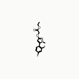 CCOC(=O)COc1cc(-c2ccc(F)cc2F)n(C)n1